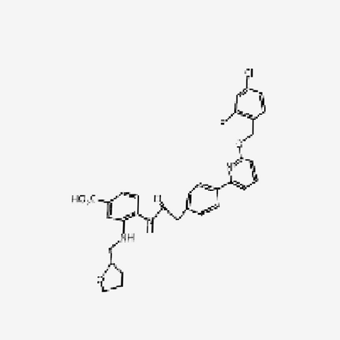 O=C(Cc1ccc(-c2cccc(OCc3ccc(Cl)cc3F)n2)cc1)Nc1ccc(C(=O)O)cc1NCC1CCCO1